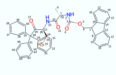 C[C@H](NC(=O)OCC1c2ccccc2-c2ccccc21)C(=O)N[C@@H](CS)C(=O)C(c1ccccc1)(c1ccccc1)c1ccccc1